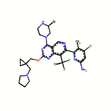 CCC1CN(c2nc(OCC3(CN4CCCC4)CC3)nc3c(C(F)(F)Cl)c(-c4nc(N)cc(Cl)c4C(F)(F)F)ncc23)CCN1